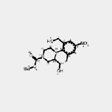 Cc1cc([N+](=O)[O-])cc(CO)c1N1CCN(C(=O)OC(C)(C)C)CC1CO